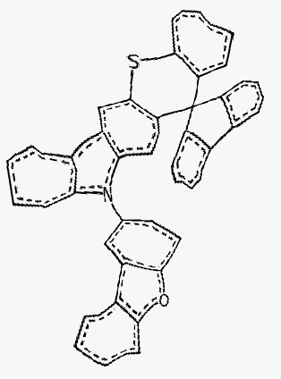 c1ccc2c(c1)Sc1cc3c4ccccc4n(-c4ccc5oc6ccccc6c5c4)c3cc1C21c2ccccc2-c2ccccc21